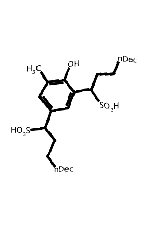 CCCCCCCCCCCCC(c1cc(C)c(O)c(C(CCCCCCCCCCCC)S(=O)(=O)O)c1)S(=O)(=O)O